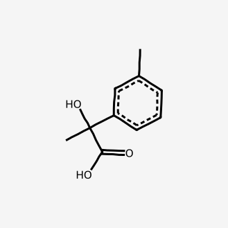 Cc1cccc(C(C)(O)C(=O)O)c1